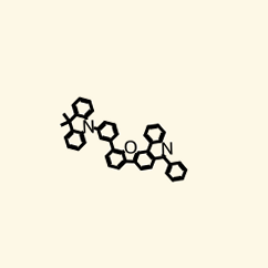 CC1(C)c2ccccc2N(c2cccc(-c3cccc4c3oc3c4ccc4c(-c5ccccc5)nc5ccccc5c43)c2)c2ccccc21